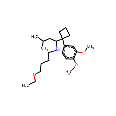 CCOCCCCNC(CC(C)C)C1(c2ccc(OC)c(OC)c2)CCC1